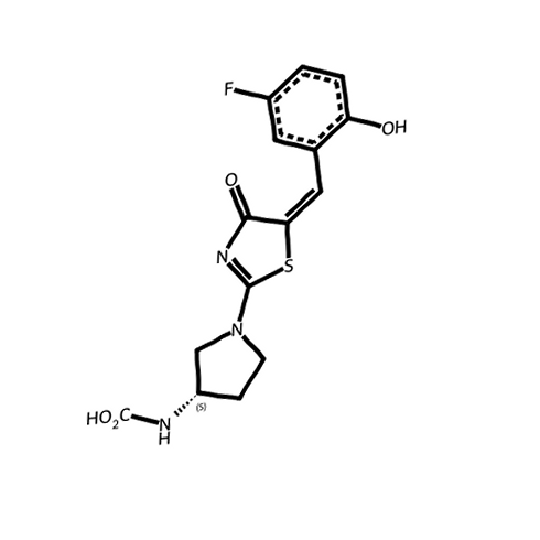 O=C(O)N[C@H]1CCN(C2=NC(=O)C(=Cc3cc(F)ccc3O)S2)C1